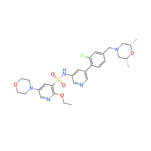 CCOc1ncc(N2CCOCC2)cc1S(=O)(=O)Nc1cncc(-c2ccc(CN3C[C@@H](C)O[C@@H](C)C3)cc2F)c1